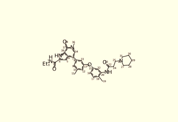 CCNC(=O)c1cc2c(-c3cc(C)cc(Oc4ccc(C)c(NC(=O)CCN5CCCCC5)c4)c3)cn(C)c(=O)c2[nH]1